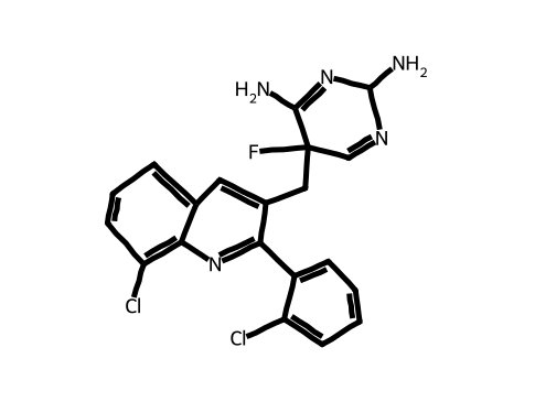 NC1=NC(N)N=CC1(F)Cc1cc2cccc(Cl)c2nc1-c1ccccc1Cl